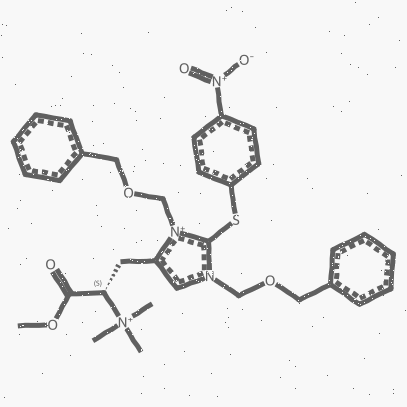 COC(=O)[C@H](Cc1cn(COCc2ccccc2)c(Sc2ccc([N+](=O)[O-])cc2)[n+]1COCc1ccccc1)[N+](C)(C)C